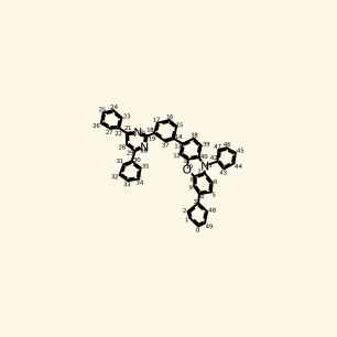 c1ccc(-c2ccc3c(c2)Oc2cc(-c4cccc(-c5nc(-c6ccccc6)cc(-c6ccccc6)n5)c4)ccc2N3c2ccccc2)cc1